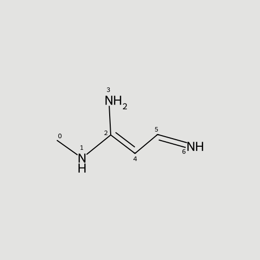 CN/C(N)=C/C=N